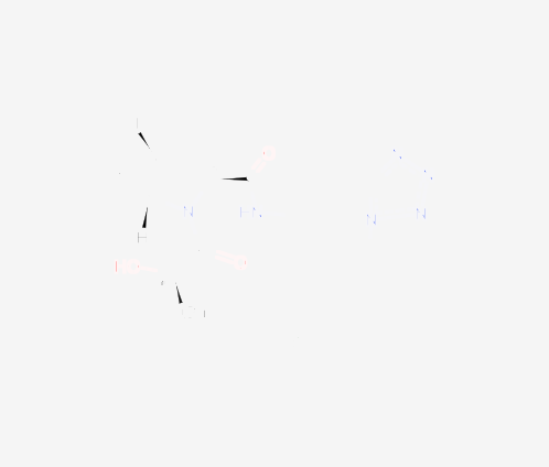 CC(C)(C)[C@@H](O)C(=O)N1[C@@H]2C[C@@H]2C[C@H]1C(=O)NCc1cc(Cl)ccc1-n1cnnn1